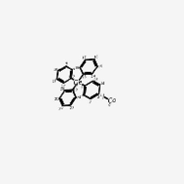 [Co][I].c1cc[c]([Ge]([c]2ccccc2)([c]2ccccc2)[c]2ccccc2)cc1